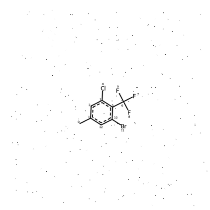 Cc1cc(Cl)c(C(F)(F)F)c(Br)c1